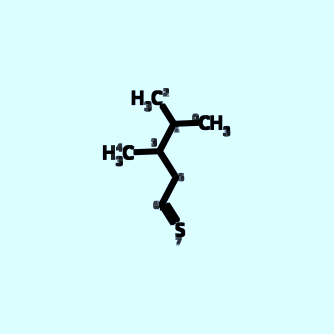 CC(C)C(C)C[C]=S